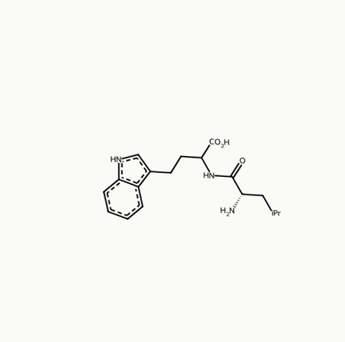 CC(C)C[C@H](N)C(=O)NC(CCc1c[nH]c2ccccc12)C(=O)O